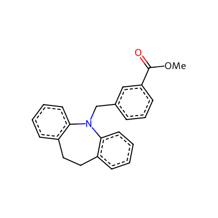 COC(=O)c1cccc(CN2c3ccccc3CCc3ccccc32)c1